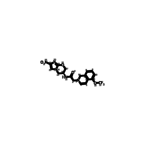 O=C(CN1C=Cc2c(cccc2OC(F)(F)F)C1)N[C@@H]1COc2nc([N+](=O)[O-])cn2C1